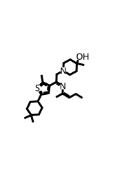 CC/C=C(C)\N=C(\CN1CCC(C)(O)CC1)c1cc(C2CCC(C)(C)CC2)sc1C